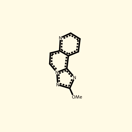 COc1nc2c3cccnc3ccn2n1